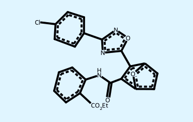 CCOC(=O)c1ccccc1NC(=O)c1c(-c2nc(-c3ccc(Cl)cc3)no2)c2ccc1o2